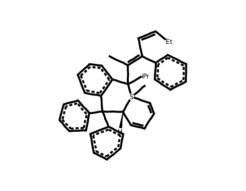 CC/C=C\C(=C(/C)C1(C(C)C)c2ccccc2C(c2ccccc2)(c2ccccc2)[C@H]2C=CC=CS21C)c1ccccc1